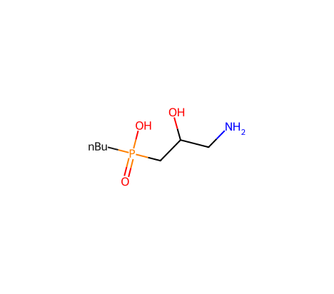 CCCCP(=O)(O)CC(O)CN